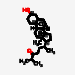 CC(C)C(=O)CCC(C)[C@H]1CC[C@H]2[C@@H]3CC=C4C[C@H](O)CC[C@]4(C)[C@H]3CC[C@]12C